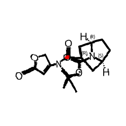 CC1C[C@@]2(C[C@H]3CC[C@@H](C2)N3C(=O)OC(C)(C)C)C(=O)N1C1=CC(=O)OC1